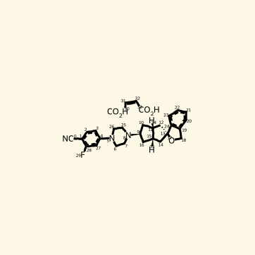 N#Cc1ccc(N2CCN([C@H]3C[C@@H]4C[C@@]5(C[C@@H]4C3)OCc3ccccc35)CC2)cc1F.O=C(O)/C=C\C(=O)O